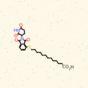 O=C(O)CCCCCCCCCCCCSc1cccc2c1C(=O)N(C1CCC(=O)NC1=O)C2=O